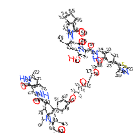 CCN(c1cc(-c2ccc(OCCCCOCCOCCOc3cc(-c4scnc4C)ccc3CNC(=O)C3C[C@@H](O)CN3C(=O)C(C(C)C)N3Cc4ccccc4C3=O)cc2)cc(C(=O)NCc2c(C)cc(C)[nH]c2=O)c1C)C1CCOCC1